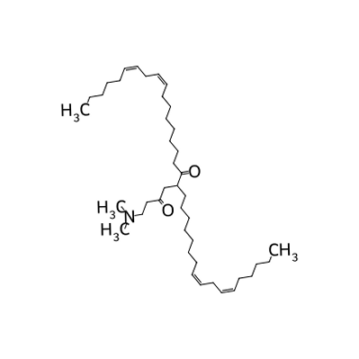 CCCCC/C=C\C/C=C\CCCCCCCC(=O)C(CCCCCCC/C=C\C/C=C\CCCCC)CC(=O)CCN(C)C